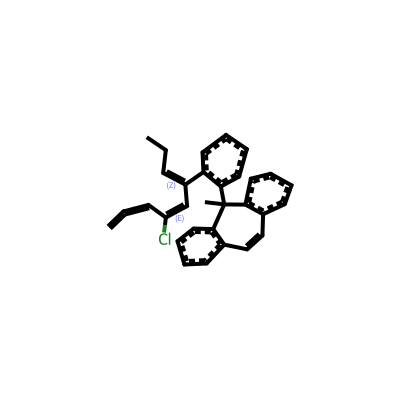 C=C=C/C(Cl)=C\C(=C\CC)c1ccccc1C1(C)c2ccccc2C=Cc2ccccc21